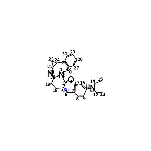 CCN1C(=O)/C(=C\c2ccc(N(CC)CC)cc2)CCC1=NC1CC1c1ccccc1